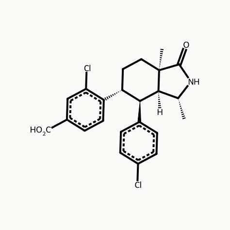 C[C@H]1NC(=O)[C@]2(C)CC[C@@H](c3ccc(C(=O)O)cc3Cl)[C@H](c3ccc(Cl)cc3)[C@H]12